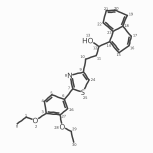 CCOc1ccc(-c2nc(CCC(O)c3cccc4ccccc34)cs2)cc1OCC